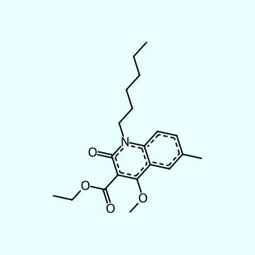 CCCCCCn1c(=O)c(C(=O)OCC)c(OC)c2cc(C)ccc21